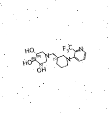 O[C@H]1[C@H](O)CN(C[C@@H]2CCCN(c3cccnc3C(F)(F)F)C2)C[C@@H]1O